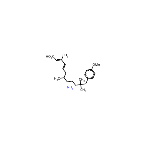 COc1ccc(CC(C)(C)CCCC(C)CC=CC(C)=CC(=O)O)cc1.N